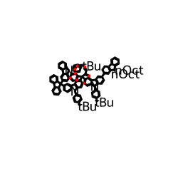 C=C1/C=C\CCCc2ccccc2C1(c1ccc2c(c1)c1cc(C3=CC4=C(CC3)c3ccccc3C4(CCCCCCCC)CCCCCCCC)ccc1n2-c1ccc(C(C)(C)C)cc1)c1ccc2c(c1)c1cc(C3(c4ccc5c(c4)c4ccccc4n5-c4ccc(C(C)(C)C)cc4)c4ccccc4-c4ccccc43)ccc1n2-c1ccc(C(C)(C)C)cc1